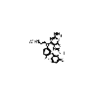 CNCCN(c1ccc(C(F)(F)F)cc1)c1nc(N)nc2sc(Nc3c(Cl)cccc3Cl)nc12